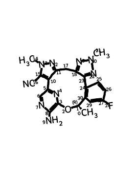 C[C@H]1Oc2nc(cnc2N)-c2c(nn(C)c2C#N)Cc2nn(C)nc2-c2ccc(F)cc21